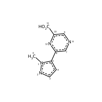 Cn1nccc1-c1cncc(C(=O)O)n1